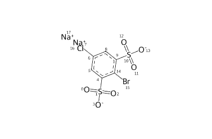 O=S(=O)([O-])c1cc(Cl)cc(S(=O)(=O)[O-])c1Br.[Na+].[Na+]